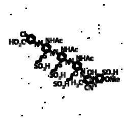 COc1cc2nc3c(C#N)c(C)c(N=Nc4cc(NC(C)=O)c(N=Nc5cc(NC(C)=O)c(N=Nc6cc(NC(C)=O)c(N=Nc7ccc(Cl)c(C(=O)O)c7)cc6SCCCS(=O)(=O)O)cc5SCCCS(=O)(=O)O)cc4OCCCS(=O)(=O)O)c(O)n3c2cc1S(=O)(=O)O